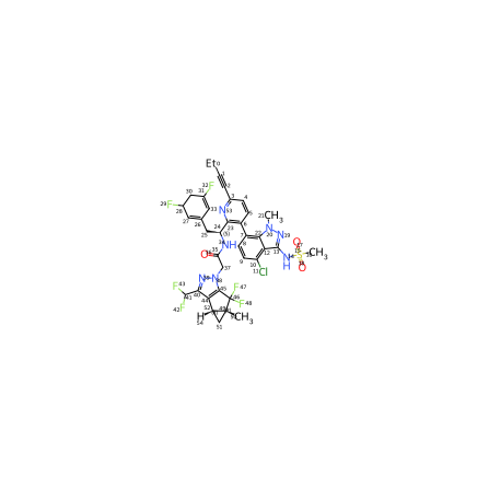 CCC#Cc1ccc(-c2ccc(Cl)c3c(NS(C)(=O)=O)nn(C)c23)c([C@H](CC2=CC(F)CC(F)=C2)NC(=O)Cn2nc(C(F)F)c3c2C(F)(F)[C@]2(C)C[C@H]32)n1